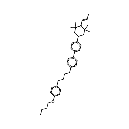 C/C=C/N1C(C)(C)CC(c2ccc(-c3ccc(CCCCc4ccc(OCCCC)cc4)cc3)cc2)CC1(C)C